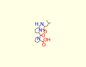 CC(C)CC(N)C(=O)N1CCCC1C(=O)N1CCCC1C(=O)O